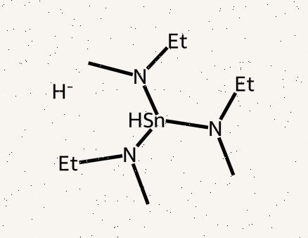 CC[N](C)[SnH]([N](C)CC)[N](C)CC.[H-]